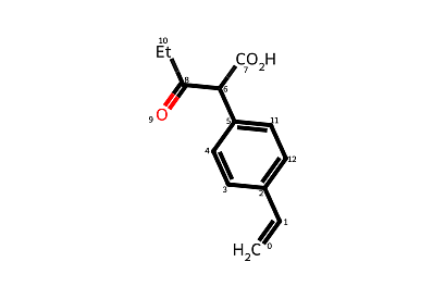 C=Cc1ccc(C(C(=O)O)C(=O)CC)cc1